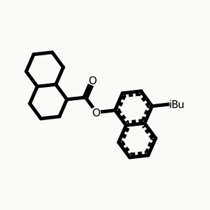 CCC(C)c1ccc(OC(=O)C2CCCC3CCCCC32)c2ccccc12